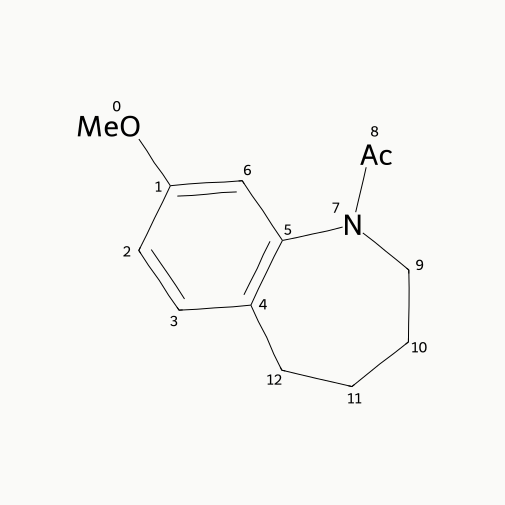 COc1ccc2c(c1)N(C(C)=O)CCCC2